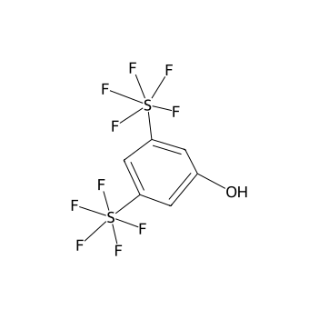 Oc1cc(S(F)(F)(F)(F)F)cc(S(F)(F)(F)(F)F)c1